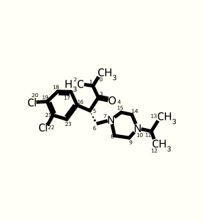 CC(C)C(=O)[C@H](CN1CCN(C(C)C)CC1)c1ccc(Cl)c(Cl)c1